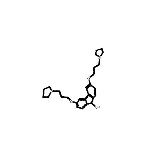 OC1c2ccc(OCCCN3CCCC3)cc2-c2cc(OCCCN3CCCC3)ccc21